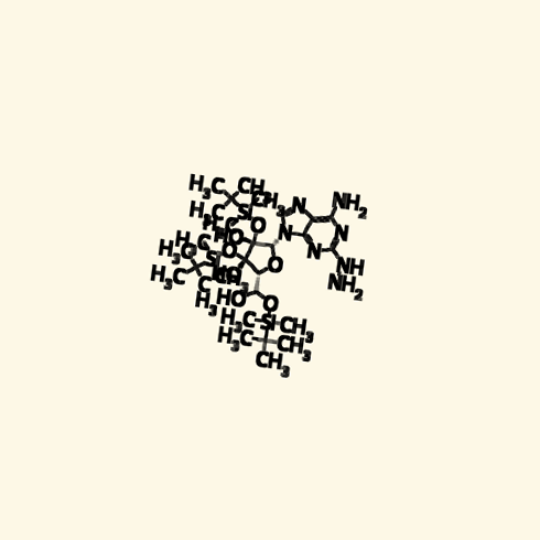 CC(C)(C)[Si](C)(C)OC(O)[C@H]1O[C@@H](n2cnc3c(N)nc(NN)nc32)[C@@](O)(O[Si](C)(C)C(C)(C)C)[C@@]1(O)O[Si](C)(C)C(C)(C)C